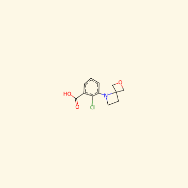 O=C(O)c1cccc(N2CCC23COC3)c1Cl